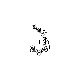 Cc1c(-c2ccc(-c3cnc(C(=O)Nc4ccc(C(=O)N5CCN(C(=O)C6CCN(C(=O)OC(C)(C)C)CC6)CC5)c(Cl)c4)n3C)c(F)c2F)cnn1CCO[Si](C)(C)C(C)(C)C